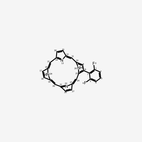 Fc1cccc(F)c1-c1cc2cc3nc(cc4ccc(cc5nc(cc1[nH]2)C=C5)[nH]4)C=C3